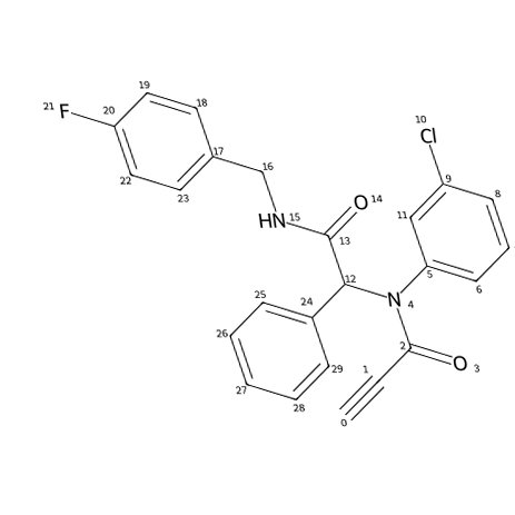 C#CC(=O)N(c1cccc(Cl)c1)C(C(=O)NCc1ccc(F)cc1)c1ccccc1